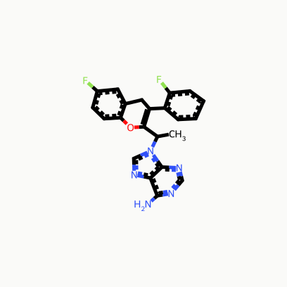 CC(C1=C(c2ccccc2F)Cc2cc(F)ccc2O1)n1cnc2c(N)ncnc21